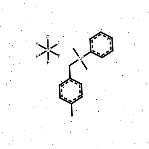 Cc1ccc(C[N+](C)(C)c2ccccc2)cc1.F[P-](F)(F)(F)(F)F